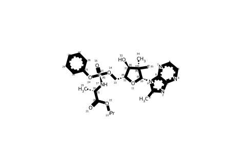 Cc1nc2nccnc2n1[C@@H]1O[C@H](CO[P@](=O)(N[C@@H](C)C(=O)OC(C)C)Oc2ccccc2)[C@@H](O)[C@@]1(C)F